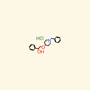 Cl.OC(COC1CCN(Cc2ccccc2)CC1)c1ccccc1